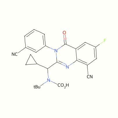 CC(C)(C)N(C(=O)O)C(c1nc2c(C#N)cc(F)cc2c(=O)n1-c1cccc(C#N)c1)C1CC1